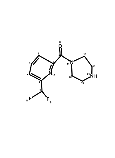 O=C(c1cccc(C(F)F)n1)N1CCNCC1